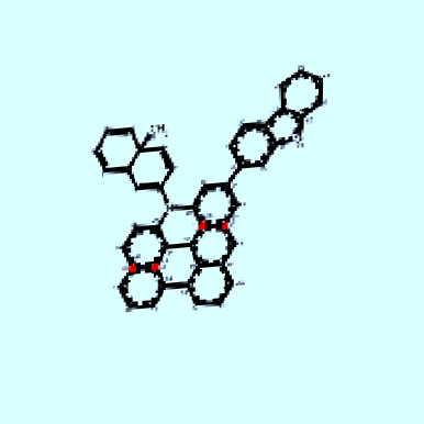 CC12C=CC=CC1C=C(N(c1cccc(-c3ccc4c(c3)oc3ccccc34)c1)c1ccccc1-c1cccc3cccc(-c4ccccc4)c13)C=C2